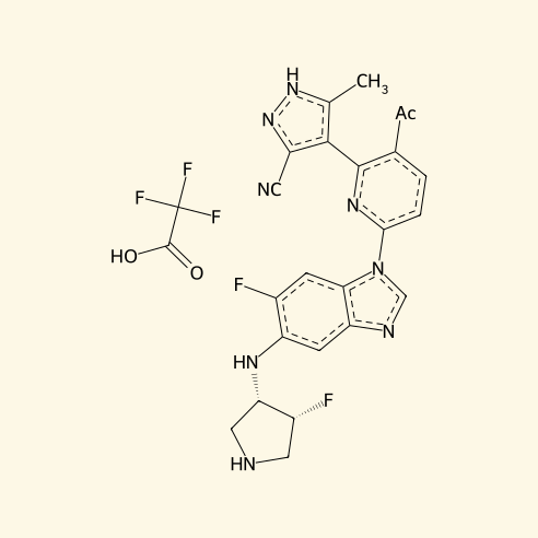 CC(=O)c1ccc(-n2cnc3cc(N[C@H]4CNC[C@H]4F)c(F)cc32)nc1-c1c(C#N)n[nH]c1C.O=C(O)C(F)(F)F